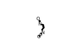 O=C=N/C=C\CN=C=O